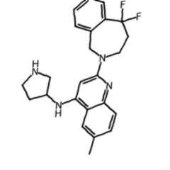 Cc1ccc2nc(N3CCC(F)(F)c4ccccc4C3)cc(NC3CCNC3)c2c1